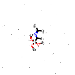 CCO[Si](OCC)(OCC)C(CC)N=C(C)CC